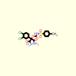 Cc1ccc(S(=O)(=O)NC(=O)OC(C(N)=O)(C(N)=O)c2ccc(Cl)c(Cl)c2)cc1